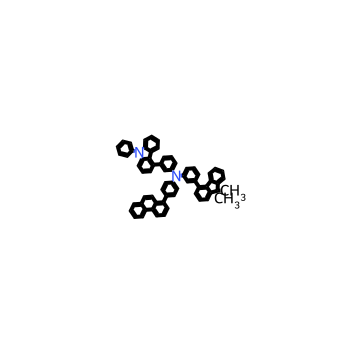 CC1(C)c2ccccc2-c2c(-c3cccc(N(c4ccc(-c5cccc6c5ccc5ccccc56)cc4)c4cccc(-c5cccc6c5c5ccccc5n6-c5ccccc5)c4)c3)cccc21